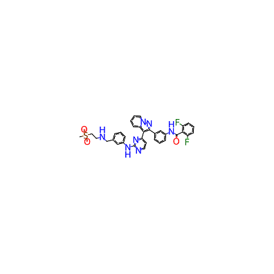 CS(=O)(=O)CCNCc1cccc(Nc2nccc(-c3c(-c4cccc(NC(=O)c5c(F)cccc5F)c4)nn4ccccc34)n2)c1